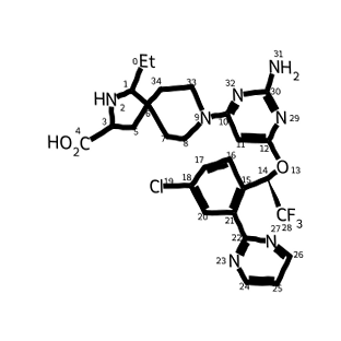 CCC1NC(C(=O)O)CC12CCN(c1cc(O[C@H](c3ccc(Cl)cc3-c3ncccn3)C(F)(F)F)nc(N)n1)CC2